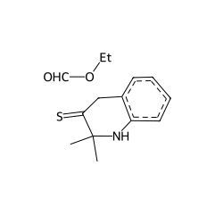 CC1(C)Nc2ccccc2CC1=S.CCOC=O